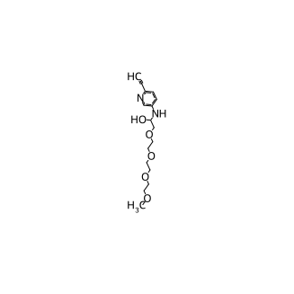 C#Cc1ccc(NC(O)COCCOCCOCCOC)cn1